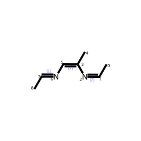 C\C=N/C(C)=C\N=C\C